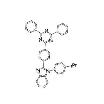 CC(C)c1ccc(-n2c(-c3ccc(-c4nc(-c5ccccc5)nc(-c5ccccc5)n4)cc3)nc3ccccc32)cc1